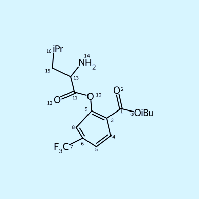 CC(C)COC(=O)c1ccc(C(F)(F)F)cc1OC(=O)C(N)CC(C)C